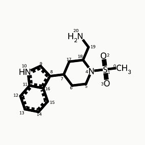 CS(=O)(=O)N1CCC(c2c[nH]c3ccccc23)CC1CN